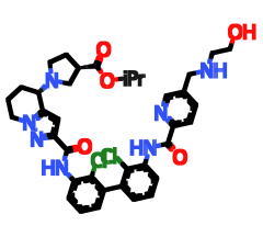 CC(C)OC(=O)[C@@H]1CCN([C@@H]2CCCn3nc(C(=O)Nc4cccc(-c5cccc(NC(=O)c6ccc(CNCCO)cn6)c5Cl)c4Cl)cc32)C1